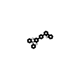 c1ccc2c(c1)Oc1cc(-c3ccc(-c4cccc5c4oc4ccccc45)cc3)cc3c1B2c1ccccc1O3